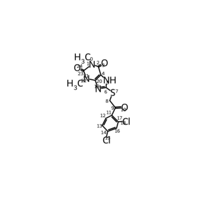 Cn1c(=O)c2[nH]c(SCC(=O)c3ccc(Cl)cc3Cl)nc2n(C)c1=O